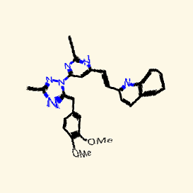 COc1ccc(Cc2nc(C)nn2-c2cc(C=Cc3ccc4ccccc4n3)nc(C)n2)cc1OC